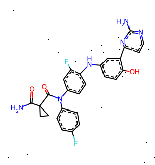 NC(=O)C1(C(=O)N(c2ccc(F)cc2)c2ccc(Nc3ccc(O)c(-c4ccnc(N)n4)c3)c(F)c2)CC1